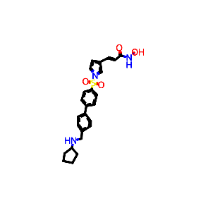 O=C(C=Cc1ccn(S(=O)(=O)c2ccc(-c3ccc(CNC4CCCC4)cc3)cc2)c1)NO